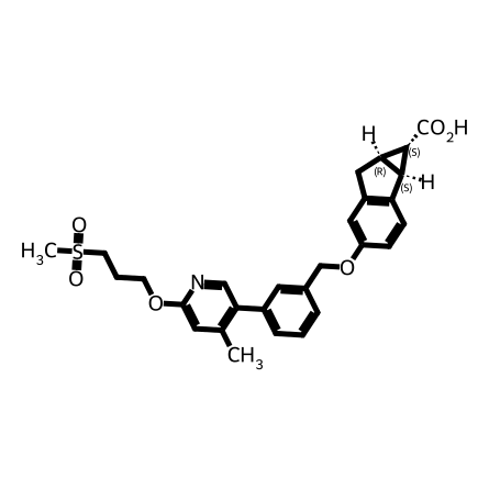 Cc1cc(OCCCS(C)(=O)=O)ncc1-c1cccc(COc2ccc3c(c2)C[C@H]2[C@H](C(=O)O)[C@@H]32)c1